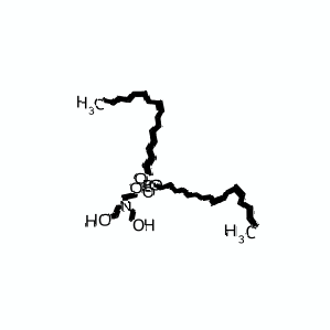 CCCCC/C=C\C/C=C\CCCCCCCCOP(=O)(OCCCCCCCC/C=C\C/C=C\CCCCC)OCCN(CCO)CCO